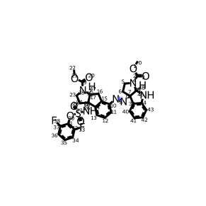 COC(=O)N1CC[C@]2(/N=N/c3cccc4c3C[C@@H]3N(C(=O)OC)CC[C@]43NS(=O)(=O)Oc3c(F)cccc3F)c3ccccc3N[C@H]12